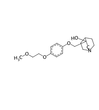 COCCOc1ccc(OCC2(O)CN3CCC2CC3)cc1